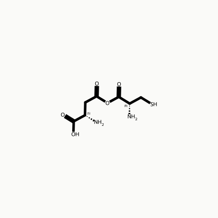 N[C@@H](CC(=O)OC(=O)[C@@H](N)CS)C(=O)O